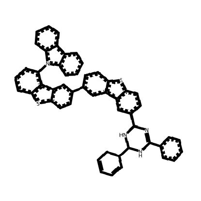 C1=CCC(C2NC(c3ccccc3)=NC(c3ccc4sc5ccc(-c6ccc7sc8cccc(-n9c%10ccccc%10c%10ccccc%109)c8c7c6)cc5c4c3)N2)C=C1